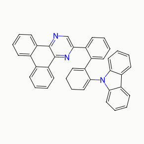 C1=C(c2ccccc2-c2cnc3c4ccccc4c4ccccc4c3n2)C(n2c3ccccc3c3ccccc32)=CCC1